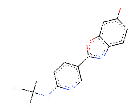 [3H]C([3H])(C)Nc1ccc(-c2nc3ccc(O)cc3o2)cn1